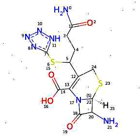 NC(=O)CCC(Sc1nnn[nH]1)C1=C(C(=O)O)N2C(=O)C(N)[C@@H]2SC1